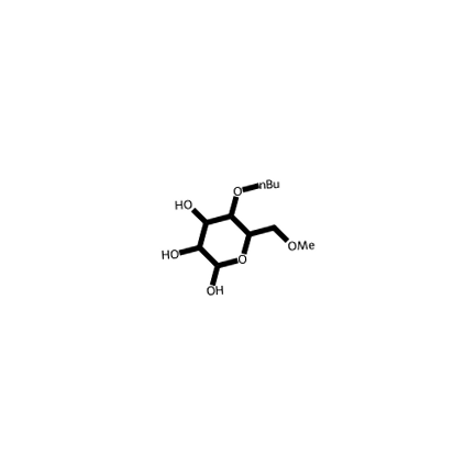 CCCCOC1C(COC)OC(O)C(O)C1O